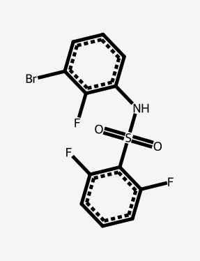 O=S(=O)(Nc1cccc(Br)c1F)c1c(F)cccc1F